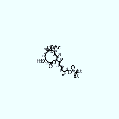 CCN(CC)C(=O)OC[C@@H](C)/C=C/C=C(\C)[C@H]1OC(=O)C[C@@H](O)CC[C@](C)(O)[C@@H](OC(C)=O)/C=C/[C@@H]1C